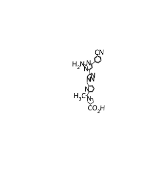 CC(c1cccc(Cn2cc(-c3cc(-c4cccc(C#N)c4)nc(N)n3)nn2)n1)N1CC[C@H](C(=O)O)C1